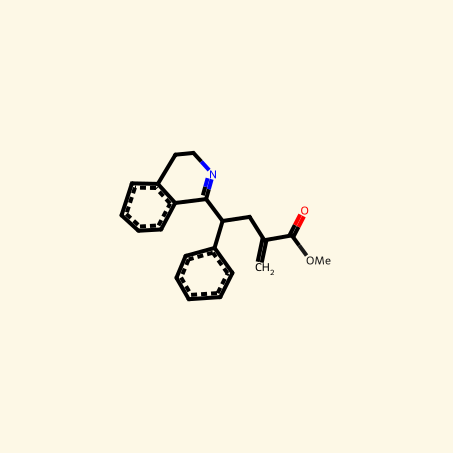 C=C(CC(C1=NCCc2ccccc21)c1ccccc1)C(=O)OC